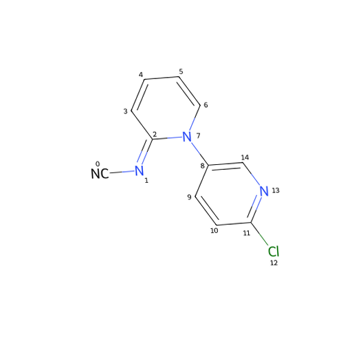 N#C/N=c1\ccccn1-c1ccc(Cl)nc1